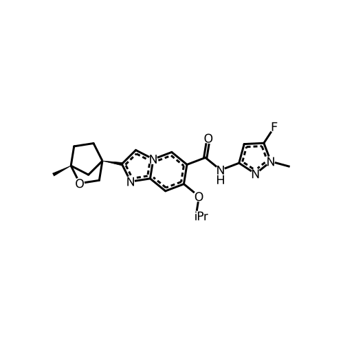 CC(C)Oc1cc2nc([C@]34CC[C@](C)(C3)OC4)cn2cc1C(=O)Nc1cc(F)n(C)n1